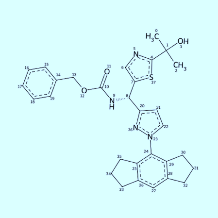 CC(C)(O)c1ncc([C@@H](NC(=O)OCc2ccccc2)c2ccn(-c3c4c(cc5c3CCC5)CCC4)n2)s1